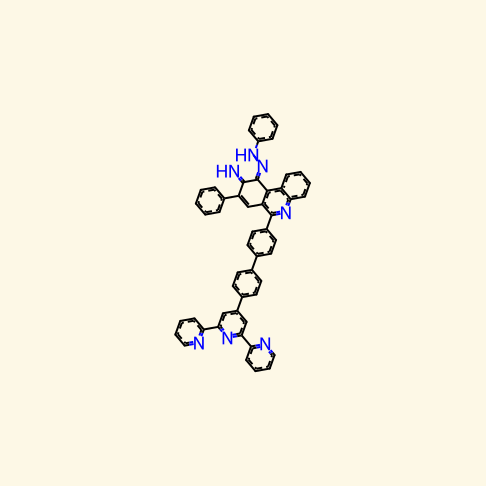 N=C1C(c2ccccc2)=Cc2c(-c3ccc(-c4ccc(-c5cc(-c6ccccn6)nc(-c6ccccn6)c5)cc4)cc3)nc3ccccc3c2/C1=N/Nc1ccccc1